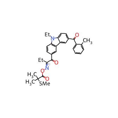 CC/C(=N\OC(=O)C(C)(C)SC)C(=O)c1ccc2c(c1)c1cc(C(=O)c3ccccc3C)ccc1n2CC